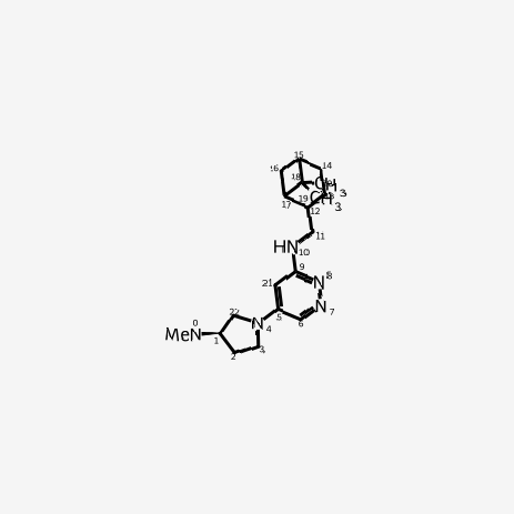 CN[C@@H]1CCN(c2cnnc(NCC3CCC4CC3C4(C)C)c2)C1